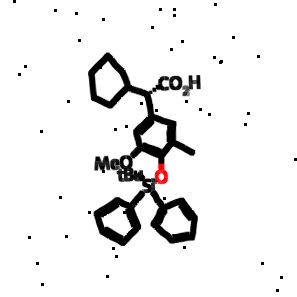 COc1cc([C@@H](C(=O)O)C2CCCCC2)cc(C)c1O[Si](c1ccccc1)(c1ccccc1)C(C)(C)C